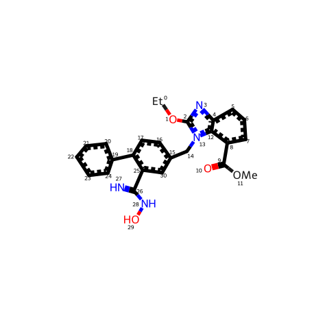 CCOc1nc2cccc(C(=O)OC)c2n1Cc1ccc(-c2ccccc2)c(C(=N)NO)c1